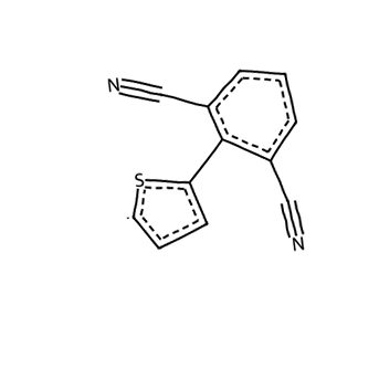 N#Cc1cccc(C#N)c1-c1cc[c]s1